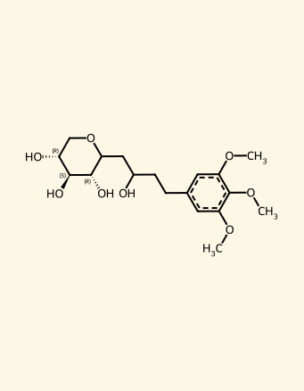 COc1cc(CCC(O)CC2OC[C@@H](O)[C@H](O)[C@H]2O)cc(OC)c1OC